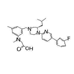 Cc1cc(CN2CCN(c3ccc(-c4cccc(F)c4)cn3)[C@H](CC(C)C)C2)cc(N(C)CC(=O)O)c1